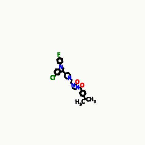 CC(C)c1ccc(C(=O)N2CCN(CCN3CCC(c4cn(-c5ccc(F)cc5)c5ccc(Cl)cc45)CC3)C2=O)cc1